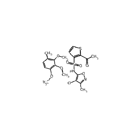 CC(=O)c1sccc1S(=O)(=O)Nc1onc(C)c1Cl.COc1ccc(C)c(OC)c1OC